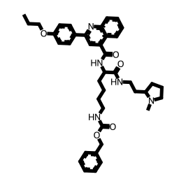 CCCOc1ccc(-c2cc(C(=O)NC(CCCCNC(=O)OCc3ccccc3)C(=O)NCCC3CCCN3C)c3ccccc3n2)cc1